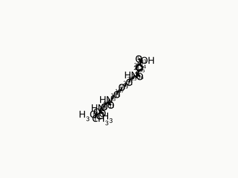 CC(C)(C)OC(=O)NOCC(=O)NCCOCCOCCOCCNC(=O)c1ccc(C(=O)O)cc1